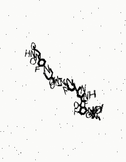 CCN(C)S(=O)(=O)Nc1ccc(F)c(C(=O)c2c[nH]c3ncc(-c4cnc(N5CCN(C(=O)CC6(O)CCN(c7ccc(N8CCC(=O)NC8=O)cc7F)CC6)CC5)c(F)c4)cc23)c1F